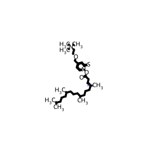 C/C(=C\CC(=O)On1ccc(COCC[N+](C)(C)C)cc1=S)CCCC(C)CCCC(C)CCCC(C)C